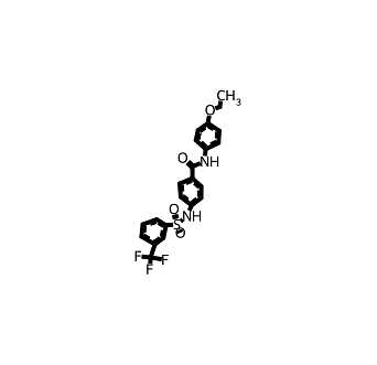 CCOc1ccc(NC(=O)c2ccc(NS(=O)(=O)c3cccc(C(F)(F)F)c3)cc2)cc1